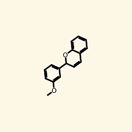 COc1cccc(C2C=Cc3ccccc3O2)c1